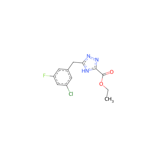 CCOC(=O)c1nnc(Cc2cc(F)cc(Cl)c2)[nH]1